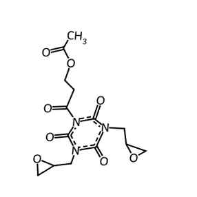 CC(=O)OCCC(=O)n1c(=O)n(CC2CO2)c(=O)n(CC2CO2)c1=O